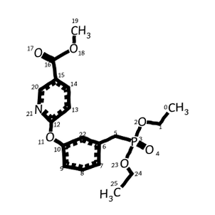 CCOP(=O)(Cc1cccc(Oc2ccc(C(=O)OC)cn2)c1)OCC